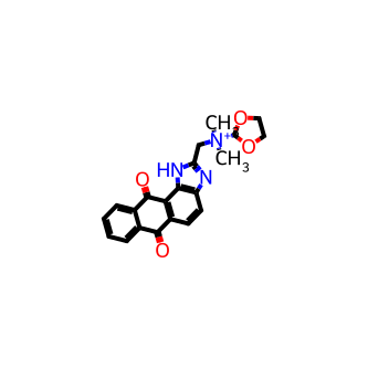 C[N+](C)(Cc1nc2ccc3c(c2[nH]1)C(=O)c1ccccc1C3=O)C1OCCO1